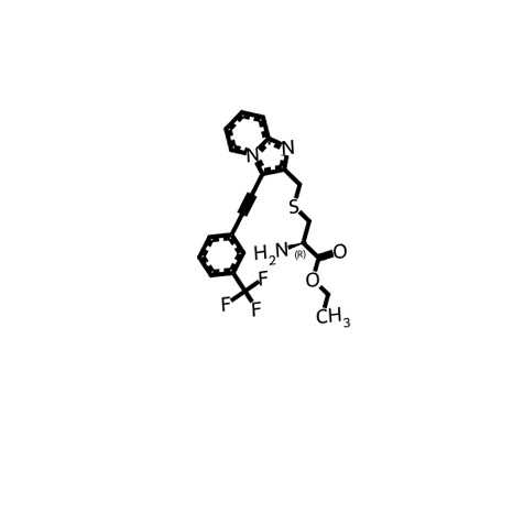 CCOC(=O)[C@@H](N)CSCc1nc2ccccn2c1C#Cc1cccc(C(F)(F)F)c1